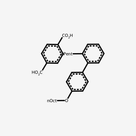 CCCCCCCCOc1ccc(-c2ccccc2CCCCC)cc1.O=C(O)c1ccc(C(=O)O)cc1